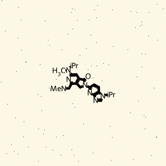 CNCc1nc(N(C)C(C)C)cc2c1CN(c1ccc3c(ncn3C(C)C)n1)C2=O